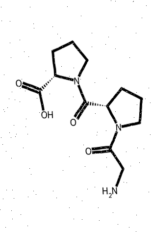 NCC(=O)N1CCC[C@H]1C(=O)N1CCC[C@H]1C(=O)O